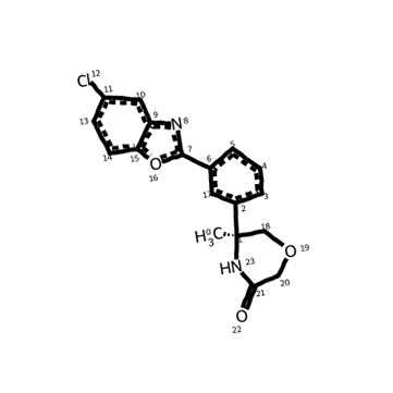 C[C@]1(c2cccc(-c3nc4cc(Cl)ccc4o3)c2)COCC(=O)N1